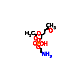 CC(=O)CC[C@@H](COP(=O)(O)OCCN)OC(C)=O